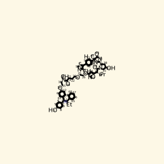 CC/C(=C(\c1ccc(O)cc1)c1ccc(OCCN(C)C(=O)CCCOCCOc2cc([C@H](C(=O)N3C[C@H](O)C[C@H]3C3=NC(=O)[C@](C)(c4ccc(-c5scnc5C)cc4)N3)C(C)C)on2)cc1)c1ccccc1